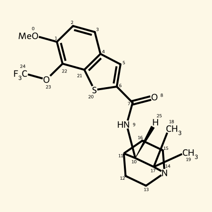 COc1ccc2cc(C(=O)N[C@H]3C4CCN(CC4)C3(C)C)sc2c1OC(F)(F)F